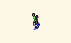 Cc1ccccc1-n1c(SCc2nc(-c3ccccc3Cl)no2)nnc1-c1ccncc1